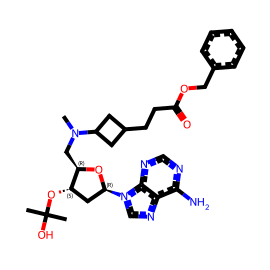 CN(C[C@H]1O[C@@H](n2cnc3c(N)ncnc32)C[C@@H]1OC(C)(C)O)C1CC(CCC(=O)OCc2ccccc2)C1